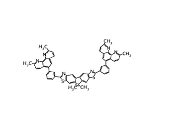 Cc1ccc2cc(-c3cccc(-c4nc5cc6c(cc5s4)[Si](C)(C)c4cc5sc(-c7cccc(-c8cc9ccc(C)nc9c9nc(C)ccc89)c7)nc5cc4-6)c3)c3ccc(C)nc3c2n1